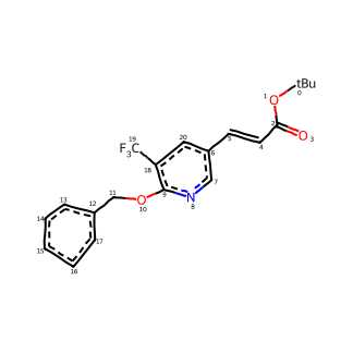 CC(C)(C)OC(=O)C=Cc1cnc(OCc2ccccc2)c(C(F)(F)F)c1